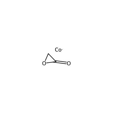 O=C1CO1.[Co]